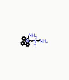 NCCCNCCCCN(CCCN)C(c1ccccc1)(c1ccccc1)c1ccccc1